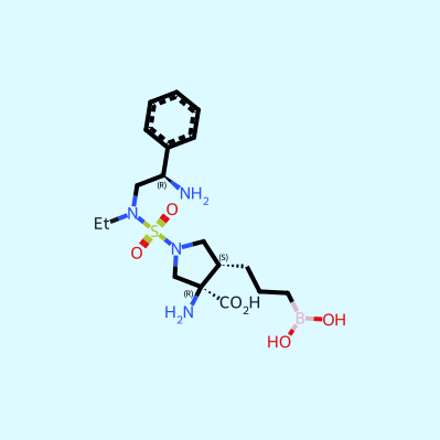 CCN(C[C@H](N)c1ccccc1)S(=O)(=O)N1C[C@H](CCCB(O)O)[C@](N)(C(=O)O)C1